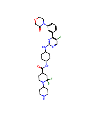 O=C(NC1CCC(Nc2ncc(F)c(-c3cccc(N4CCOCC4=O)c3)n2)CC1)C1CCN(C2CCNCC2)C(F)(F)C1